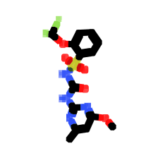 COc1cc(C)nc(NC(=O)NS(=O)(=O)c2ccccc2OC(F)F)n1